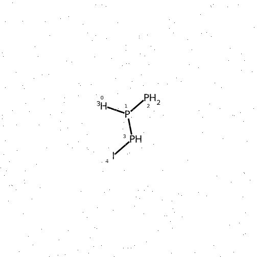 [3H]P(P)PI